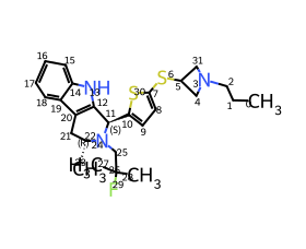 CCCN1CC(Sc2ccc([C@@H]3c4[nH]c5ccccc5c4C[C@@H](C)N3CC(C)(C)F)s2)C1